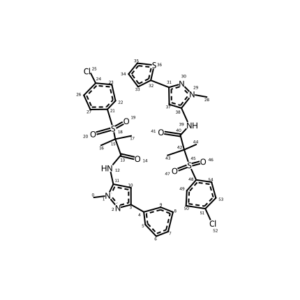 Cn1nc(-c2ccccc2)cc1NC(=O)C(C)(C)S(=O)(=O)c1ccc(Cl)cc1.Cn1nc(-c2cccs2)cc1NC(=O)C(C)(C)S(=O)(=O)c1ccc(Cl)cc1